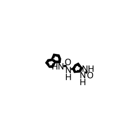 O=C(Nc1ccc2[nH]c(=O)[nH]c2c1)Nc1cccc2ccccc12